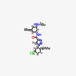 CCCCNc1cc(NC(=O)c2nnn(-c3cc(Cl)ccc3OC)c2C)cc(C(C)(C)C)c1